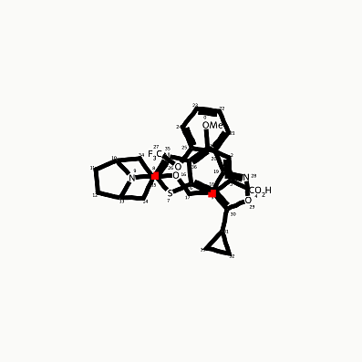 COc1cc(C(=O)O)cc2sc(N3C4CCC3CC(OCc3c(-c5ccccc5OC(F)(F)F)noc3C3CC3)C4)nc12